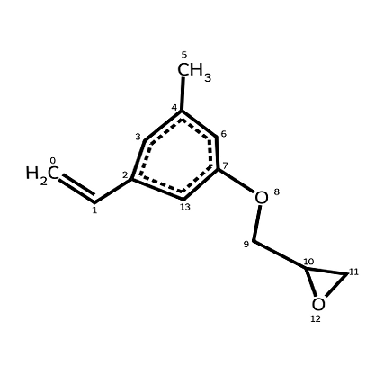 C=Cc1cc(C)cc(OCC2CO2)c1